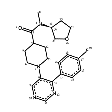 CN(C(=O)C1CCN(c2cncnc2-c2ccc(F)cc2)CC1)[C@H]1CCOC1